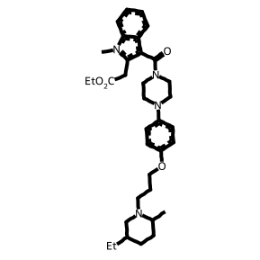 CCOC(=O)Cc1c(C(=O)N2CCN(c3ccc(OCCCN4CC(CC)CCC4C)cc3)CC2)c2ccccc2n1C